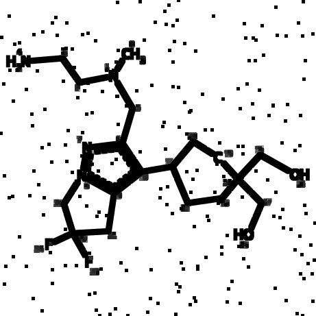 CN(CCN)Cc1nn2c(c1C1CCC(CO)(CO)CC1)CC(F)(F)C2